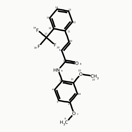 COc1ccc(NC(=O)/C=C/c2ccccc2C(F)(F)F)c(OC)c1